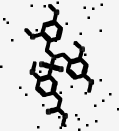 COC(=O)Cc1ccc(OC)c(S(=O)(=O)N(Cc2ccc(OC)cc2OC)Cc2ccc(OC)cc2OC)c1